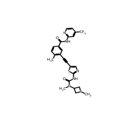 Cc1ccc(C(=O)Nc2cc(C(F)(F)F)ccn2)cc1C#Cc1cnc(NC(=O)N(C)C2CN(C)C2)s1